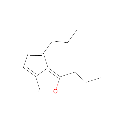 CCCC1=CC=C2[CH]OC(CCC)=C21